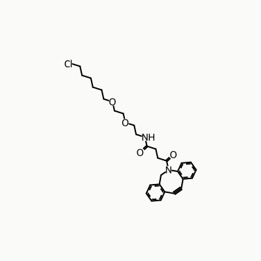 O=C(CCC(=O)N1Cc2ccccc2C#Cc2ccccc21)NCCOCCOCCCCCCCl